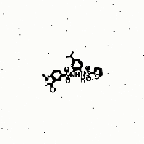 CC(C)c1ccc(NS(=O)(=O)c2cccs2)c(NS(=O)(=O)c2ccc3c(c2)c(=O)sn3C)c1